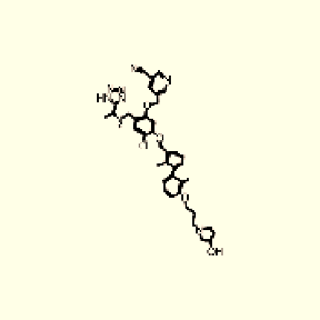 Cc1c(COc2cc(OCc3cncc(C#N)c3)c(CN(C)C(C)c3nnn[nH]3)cc2Cl)cccc1-c1cccc(OCCCN2CCC(O)C2)c1C